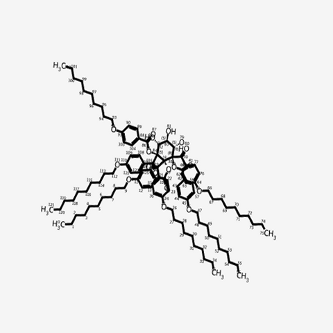 CCCCCCCCCCOc1ccc(C(=O)O[C@@]2(C(=O)c3ccc(OCCCCCCCCCC)cc3)[C@@](OC(=O)c3ccc(OCCCCCCCCCC)cc3)(C(=O)c3ccc(OCCCCCCCCCC)cc3)[C@@H](O)[C@H](O)[C@@H](O)[C@@]2(OC(=O)c2ccc(OCCCCCCCCCC)cc2)C(=O)c2ccc(OCCCCCCCCCC)cc2)cc1